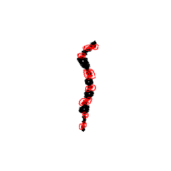 C=CC(=O)OCCCOc1ccc(C(=O)Oc2ccc(OC(=O)c3ccc(OC(=O)c4ccc(OCCCOC(=O)C=C)cc4)cc3)cc2)cc1